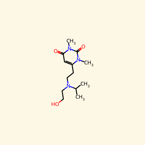 CC(C)N(CCO)CCc1cc(=O)n(C)c(=O)n1C